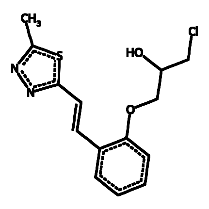 Cc1nnc(C=Cc2ccccc2OCC(O)CCl)s1